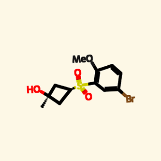 COc1ccc(Br)cc1S(=O)(=O)[C@H]1C[C@](C)(O)C1